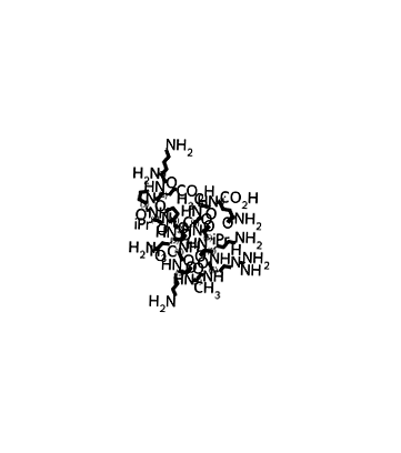 CC(C)[C@H](NC(=O)[C@H](CCCCN)NC(=O)[C@H](CCCNC(=N)N)NC(=O)[C@H](C)NC(=O)[C@H](CCCCN)NC(=O)[C@H](C)NC(=O)[C@H](CCC(N)=O)NC(=O)[C@@H]1CCCN1C(=O)[C@@H](NC(=O)[C@@H]1CCCN1C(=O)[C@H](CCC(=O)O)NC(=O)[C@@H](N)CCCCN)C(C)C)C(=O)N[C@@H](C)C(=O)N[C@@H](C)C(=O)N[C@@H](CCC(N)=O)C(=O)O